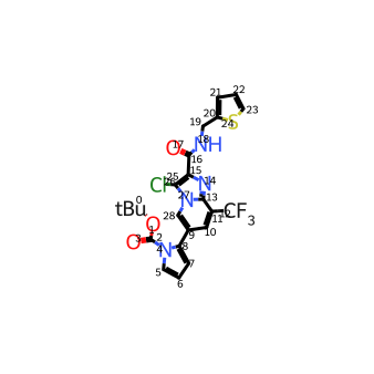 CC(C)(C)OC(=O)n1cccc1-c1cc(C(F)(F)F)c2nc(C(=O)NCc3cccs3)c(Cl)n2c1